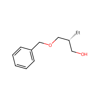 CC[C@H](CO)COCc1ccccc1